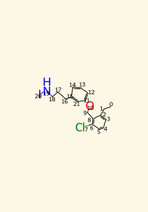 CCc1cccc(Cl)c1COc1cccc(CCCNI)c1